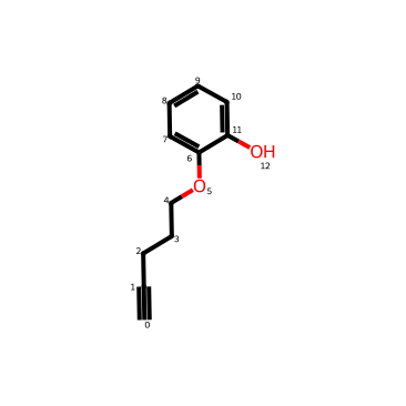 C#CCCCOc1ccccc1O